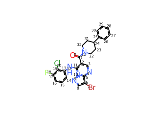 O=C(c1cnc2c(Br)cnn2c1Nc1cccc(F)c1Cl)N1CCC(c2ccccc2)CC1